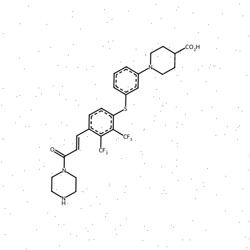 O=C(O)C1CCN(c2cccc(Sc3ccc(/C=C/C(=O)N4CCNCC4)c(C(F)(F)F)c3C(F)(F)F)c2)CC1